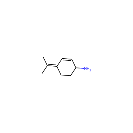 CC(C)=C1C=CC(N)CC1